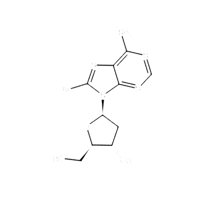 Nc1ncnc2c1nc(Br)n2[C@H]1C[C@H](O)[C@@H](CO)O1